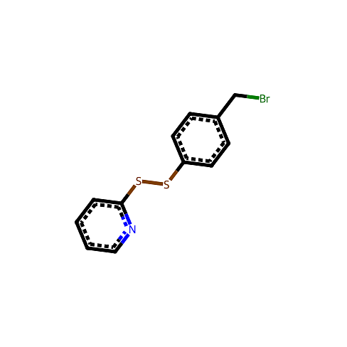 BrCc1ccc(SSc2ccccn2)cc1